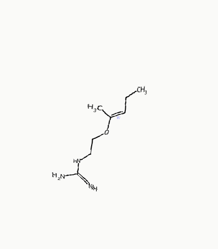 CC/C=C(\C)OCCNC(=N)N